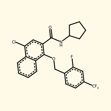 O=C(NC1CCCC1)c1cc(Cl)c2ccccc2c1OCc1ccc(C(F)(F)F)cc1F